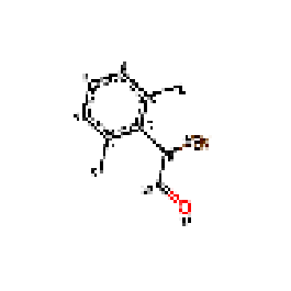 Cc1cccc(C)c1C(Br)C=O